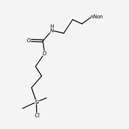 CCCCCCCCCCCCNC(=O)OCCC[Si](C)(C)Cl